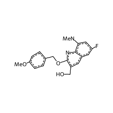 CNc1cc(F)cc2cc(CO)c(OCc3ccc(OC)cc3)nc12